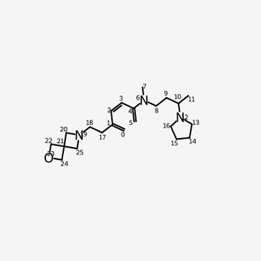 C=C(/C=C\C(=C)N(C)CCC(C)N1CCCC1)CCN1CC2(COC2)C1